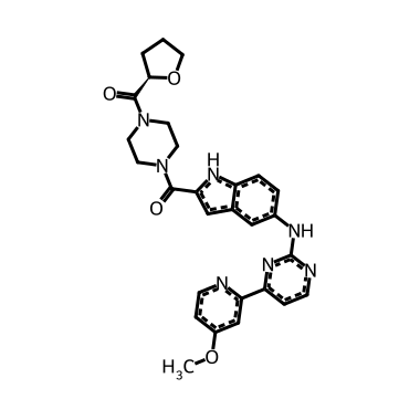 COc1ccnc(-c2ccnc(Nc3ccc4[nH]c(C(=O)N5CCN(C(=O)[C@H]6CCCO6)CC5)cc4c3)n2)c1